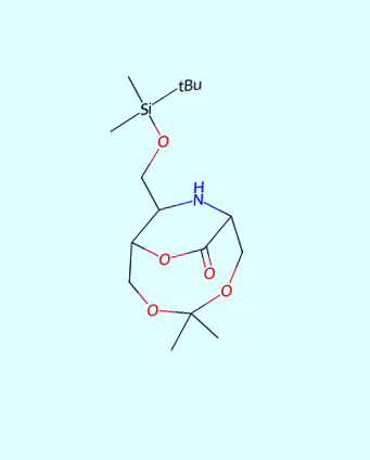 CC1(C)OCC2NC(CO[Si](C)(C)C(C)(C)C)C(CO1)OC2=O